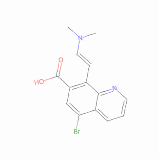 CN(C)C=Cc1c(C(=O)O)cc(Br)c2cccnc12